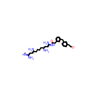 CN/C(N)=C/C=C(\N)CCCC/C(N)=C/C=C(\N)NC(=O)Cc1cccc(Cc2cccc(CC=O)c2)c1